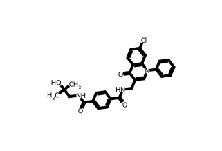 CC(C)(O)CNC(=O)c1ccc(C(=O)NCc2cn(-c3ccccc3)c3cc(Cl)ccc3c2=O)cc1